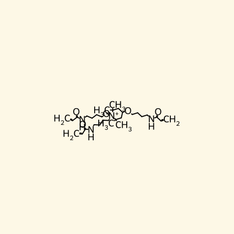 C=CC(=O)NCCCCOC1CC(C)(C)[N+](CCCCNC(=O)C=C)(OCCCCNC(=O)C=C)C(C)(C)C1